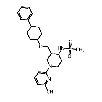 Cc1cccc(N2CC[C@H](NS(C)(=O)=O)C(COC3CCC(c4ccccc4)CC3)C2)n1